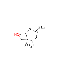 CC(C)(C)C1CCC(CO)(C(=O)O)CC1